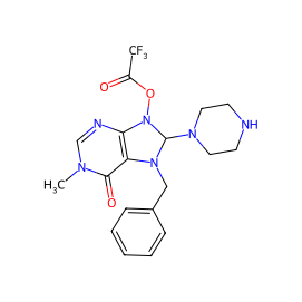 Cn1cnc2c(c1=O)N(Cc1ccccc1)C(N1CCNCC1)N2OC(=O)C(F)(F)F